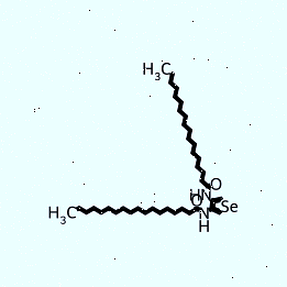 CCCCCCCCCCCCCCCCCC(=O)Nc1c[se]cc1NC(=O)CCCCCCCCCCCCCCCCC